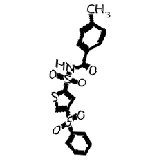 Cc1ccc(C(=O)NS(=O)(=O)c2cc(S(=O)(=O)c3ccccc3)cs2)cc1